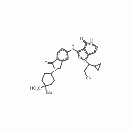 CC(C)(C)C1(C(=O)O)CCC(N2Cc3cc(Nc4nn(C(CC#N)C5CC5)c5cc[nH]c(=O)c45)ccc3C2=O)CC1